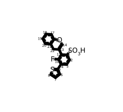 O=S(=O)(O)c1ccc(-c2cccs2)c(F)c1C1=COc2ccccc2C1